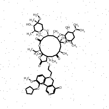 CC[C@H]1OC(=O)[C@H](C)[C@@H](O[C@H]2C[C@@](C)(OC)[C@@H](O)[C@H](C)O2)[C@H](C)[C@@H](O[C@@H]2O[C@H](C)C[C@H](N(C)C)[C@H]2O)[C@](C)(OC)C[C@@H](C)C(=O)[C@H](C)[C@H]2[C@H](SCCN(Cc3c(Cl)cncc3Cl)c3ccc(OC)c(OC4CCCC4)c3)C(=O)O[C@@]21C